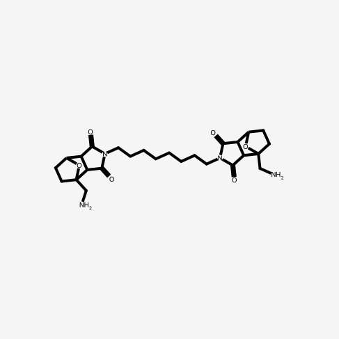 NCC12CCC(O1)C1C(=O)N(CCCCCCCCN3C(=O)C4C5CCC(CN)(O5)C4C3=O)C(=O)C12